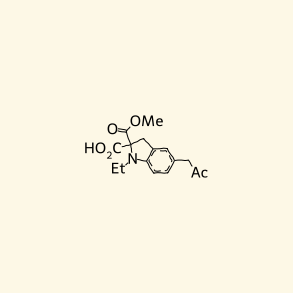 CCN1c2ccc(CC(C)=O)cc2CC1(C(=O)O)C(=O)OC